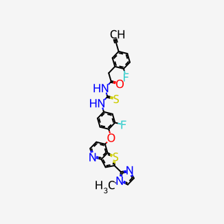 C#Cc1ccc(F)c(CC(=O)NC(=S)Nc2ccc(Oc3ccnc4cc(-c5nccn5C)sc34)c(F)c2)c1